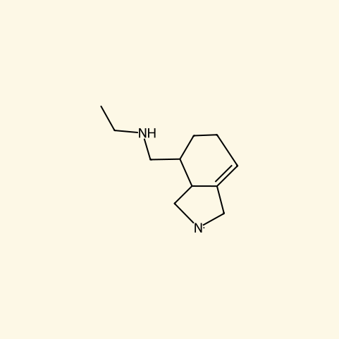 CCNCC1CCC=C2C[N]CC21